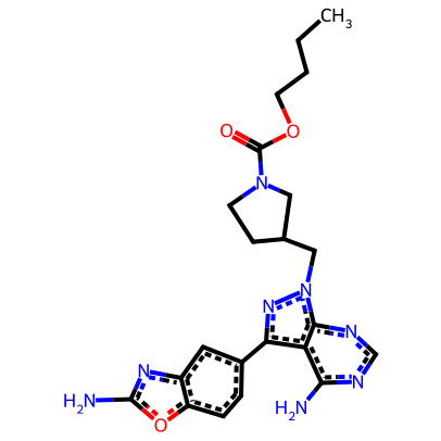 CCCCOC(=O)N1CCC(Cn2nc(-c3ccc4oc(N)nc4c3)c3c(N)ncnc32)C1